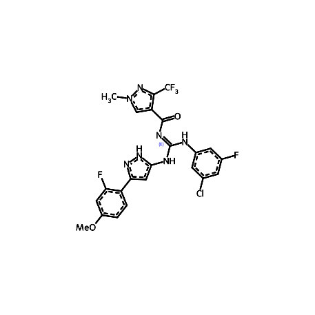 COc1ccc(-c2cc(N/C(=N/C(=O)c3cn(C)nc3C(F)(F)F)Nc3cc(F)cc(Cl)c3)[nH]n2)c(F)c1